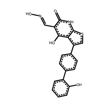 O=c1[nH]c2scc(-c3ccc(-c4ccccc4O)cc3)c2c(O)c1C=NO